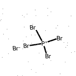 Br[P+](Br)(Br)Br.[Br-]